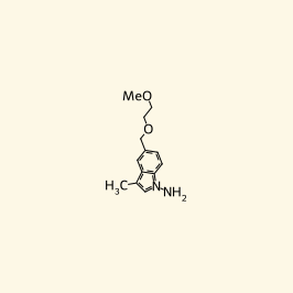 COCCOCc1ccc2c(c1)c(C)cn2N